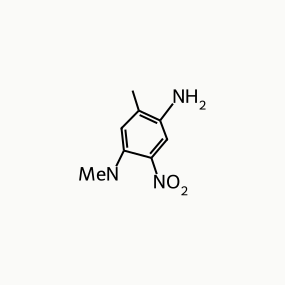 CNc1cc(C)c(N)cc1[N+](=O)[O-]